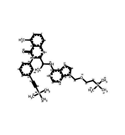 Cc1cccc2nc(C(C)Nc3ncnc4c3ncn4COCC[Si](C)(C)C)n(-c3cccc(C#C[Si](C)(C)C)c3)c(=O)c12